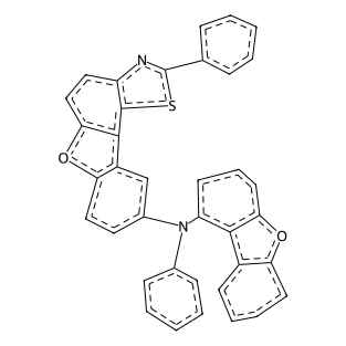 c1ccc(-c2nc3ccc4oc5ccc(N(c6ccccc6)c6cccc7oc8ccccc8c67)cc5c4c3s2)cc1